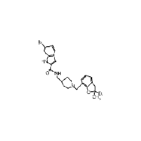 CCC1(C)Cc2cccc(CN3CCC(CNC(=O)c4cc5ccc(Br)cc5[nH]4)CC3)c2O1